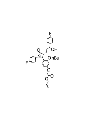 C=CCOC(=O)COc1ccc([C@@H]2[C@@H](CC[C@H](O)c3ccc(F)cc3)C(=O)N2c2ccc(F)cc2)c(OCCCC)c1